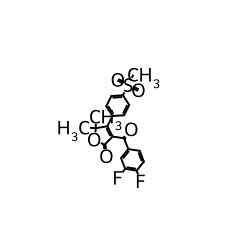 CC1(C)OC(=O)C(C(=O)c2ccc(F)c(F)c2)=C1c1ccc(S(C)(=O)=O)cc1